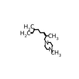 C=CC(=C)CC/C=C(/C)CN1CCN(C)CC1